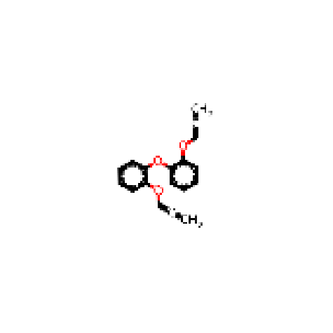 C=C=COc1ccccc1Oc1ccccc1OC=C=C